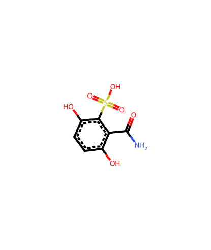 NC(=O)c1c(O)ccc(O)c1S(=O)(=O)O